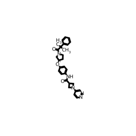 CC(C)(C(=O)N1CC[C@@H](Oc2ccc(NC(=O)C3CN(c4ccnnc4)C3)cc2)C1)c1ccccc1